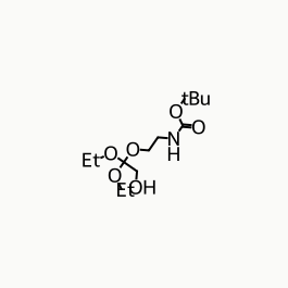 CCOC(CO)(OCC)OCCNC(=O)OC(C)(C)C